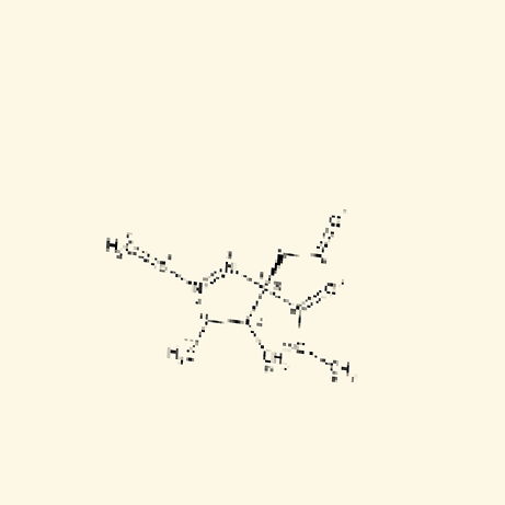 C=BN=N[C@](CC=O)(C(=O)OC)C(C)CC